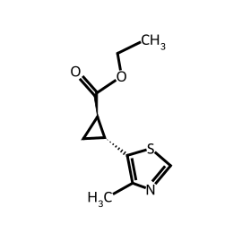 CCOC(=O)[C@@H]1C[C@H]1c1scnc1C